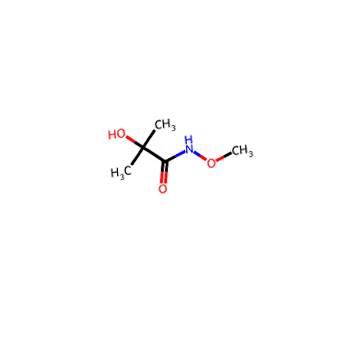 CONC(=O)C(C)(C)O